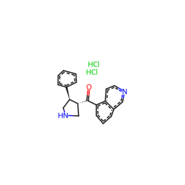 Cl.Cl.O=C(c1cccc2cnccc12)[C@@H]1CNC[C@H]1c1ccccc1